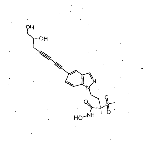 C[C@@](CCn1ncc2cc(C#CC#CC[C@@H](O)CO)ccc21)(C(=O)NO)S(C)(=O)=O